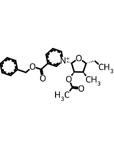 CC[C@H]1O[C@@H]([n+]2cccc(C(=O)OCc3ccccc3)c2)[C@H](OC(C)=O)[C@@H]1C